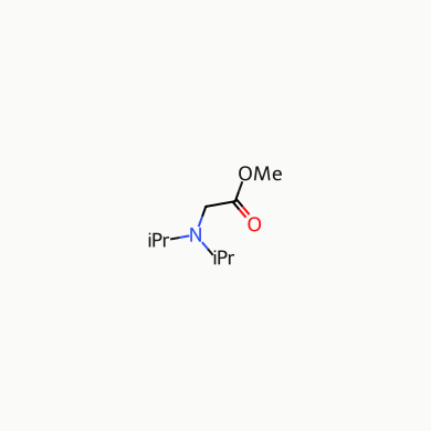 COC(=O)CN(C(C)C)C(C)C